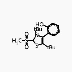 CC(C)(C)C1=C(c2ccccc2O)N(C(C)(C)C)C(S(C)(=O)=O)S1